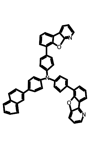 c1ccc2cc(-c3ccc(N(c4ccc(-c5cccc6c5oc5ncccc56)cc4)c4ccc(-c5cccc6c5oc5cccnc56)cc4)cc3)ccc2c1